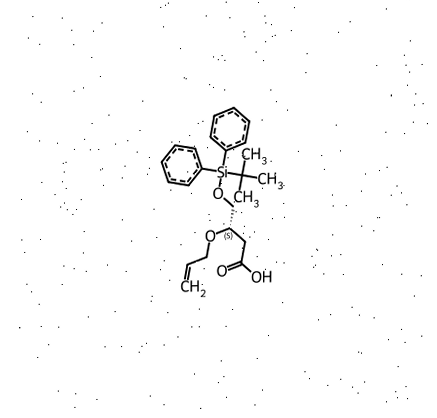 C=CCO[C@H](CO[Si](c1ccccc1)(c1ccccc1)C(C)(C)C)CC(=O)O